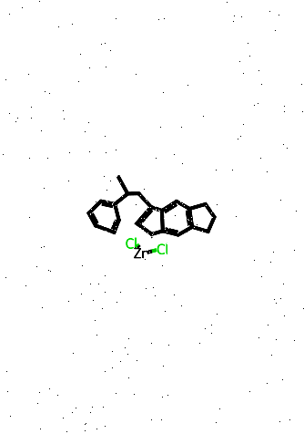 CC(CC1=C[CH]c2cc3c(cc21)CCC3)c1ccccc1.[Cl][Zr][Cl]